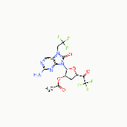 CC(=O)OC1CC(C(=O)C(F)(F)F)OC1n1c(=O)n(CC(F)(F)F)c2cnc(N)nc21